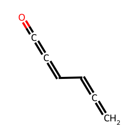 C=C=CC=C=C=O